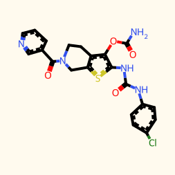 NC(=O)Oc1c(NC(=O)Nc2ccc(Cl)cc2)sc2c1CCN(C(=O)c1cccnc1)C2